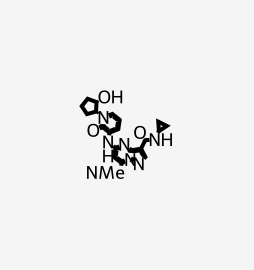 CNc1cc(Nc2cccn([C@H]3CCC[C@H]3O)c2=O)nc2c(C(=O)NC3CC3)cnn12